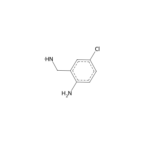 [NH]Cc1cc(Cl)ccc1N